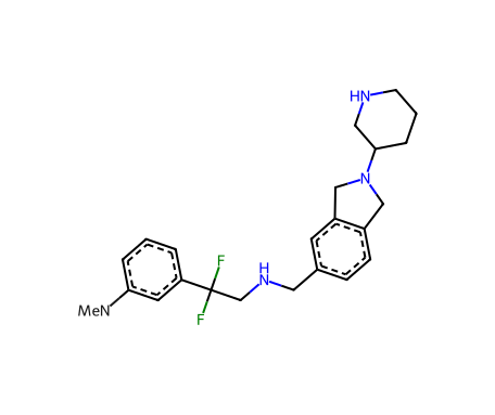 CNc1cccc(C(F)(F)CNCc2ccc3c(c2)CN(C2CCCNC2)C3)c1